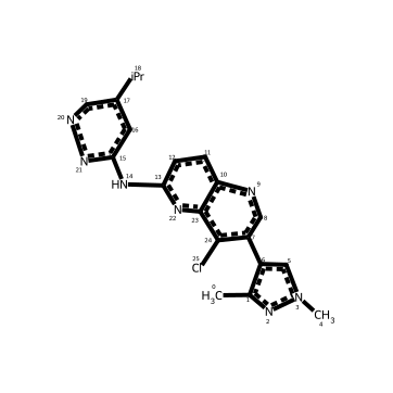 Cc1nn(C)cc1-c1cnc2ccc(Nc3cc(C(C)C)cnn3)nc2c1Cl